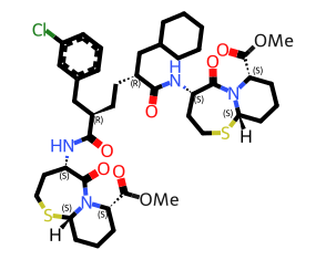 COC(=O)[C@@H]1CCC[C@@H]2SCC[C@H](NC(=O)[C@H](CC[C@H](CC3CCCCC3)C(=O)N[C@H]3CCS[C@H]4CCC[C@@H](C(=O)OC)N4C3=O)Cc3cccc(Cl)c3)C(=O)N21